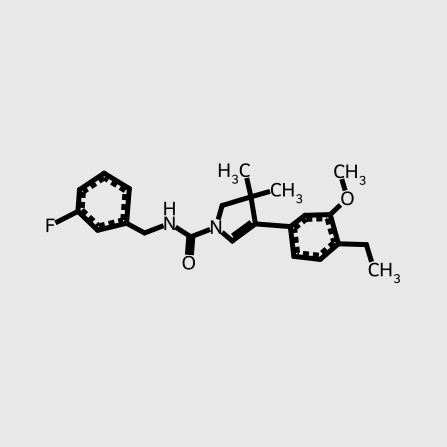 CCc1ccc(C2=CN(C(=O)NCc3cccc(F)c3)CC2(C)C)cc1OC